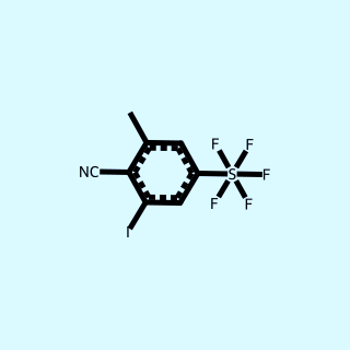 Cc1cc(S(F)(F)(F)(F)F)cc(I)c1C#N